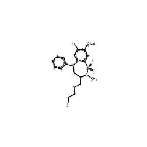 COc1cc2c(cc1Br)N(c1ccccc1)CC(CCCCF)N(C)S2(=O)=O